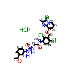 CC(=O)c1cccc(NC(=O)NCC(=O)N(C)c2ccc(Cl)c(COc3cccn4c(Br)c(C)nc34)c2Cl)c1.Cl